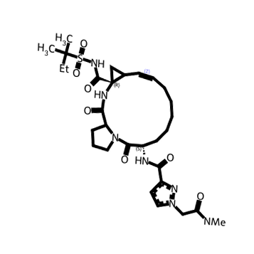 CCC(C)(C)S(=O)(=O)NC(=O)[C@@]12CC1/C=C\CCCCC[C@H](NC(=O)c1ccn(CC(=O)NC)n1)C(=O)N1CCCC1C(=O)N2